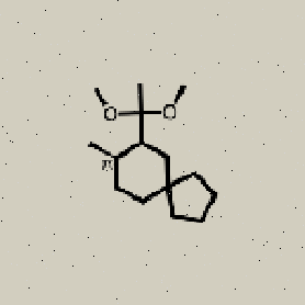 COC(C)(OC)C1CC2(CCCC2)CC[C@H]1C